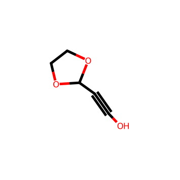 OC#CC1OCCO1